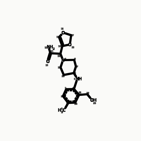 Cc1ccc(NC2CCN(C(C(N)=O)C3=COCO3)CC2)c(CO)c1